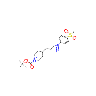 CC(C)(C)OC(=O)N1CCC(CCCNc2ccc(S(C)(=O)=O)cc2)CC1